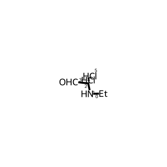 CCNCC=O.Cl.Cl